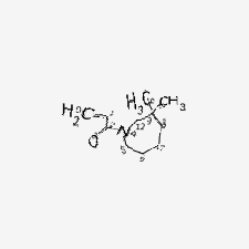 C=CC(=O)N1CC[CH]CC(C)(C)C1